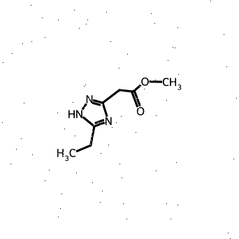 CCc1nc(CC(=O)OC)n[nH]1